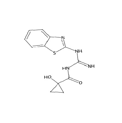 N=C(NC(=O)C1(O)CC1)Nc1nc2ccccc2s1